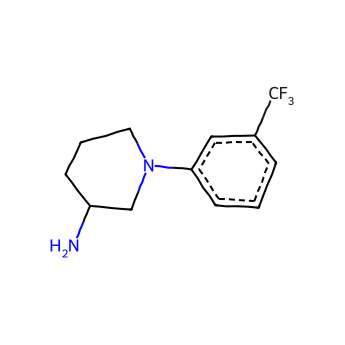 NC1CCCN(c2cccc(C(F)(F)F)c2)C1